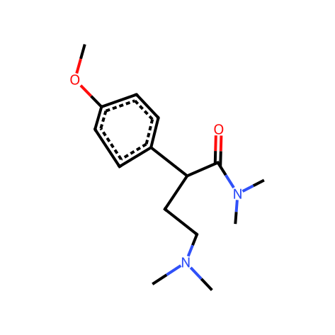 COc1ccc(C(CCN(C)C)C(=O)N(C)C)cc1